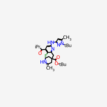 Cc1cc(Nc2cc(C(=O)C(C)C)c(F)c(CC3(C(=O)OC(C)(C)C)CCN[C@H](C)C3)n2)nn1C(C)(C)C